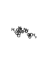 CC(NC(=O)c1ccc(-c2cc([C@H]3CCC(=O)N(C)C3)cnc2N)cc1F)c1cccc(Cl)c1